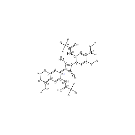 CCN1CCCc2cc(C3=C(O)/C(=c4\cc5c(cc4NC(=O)C(C)(C)C)=[N+](CC)CCC5)C3=O)c(NC(=O)C(C)(C)C)cc21